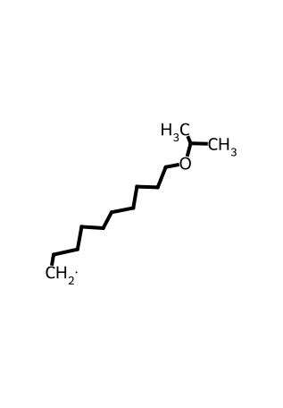 [CH2]CCCCCCCCCOC(C)C